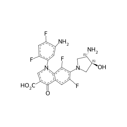 Nc1cc(-n2cc(C(=O)O)c(=O)c3cc(F)c(N4C[C@H](N)[C@@H](O)C4)c(F)c32)c(F)cc1F